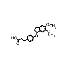 COc1cc2c(cc1OC)C(Oc1ccc(CCC(=O)O)cc1)CC2